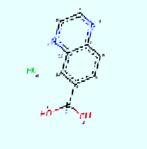 Cl.OB(O)c1ccc2nccnc2c1